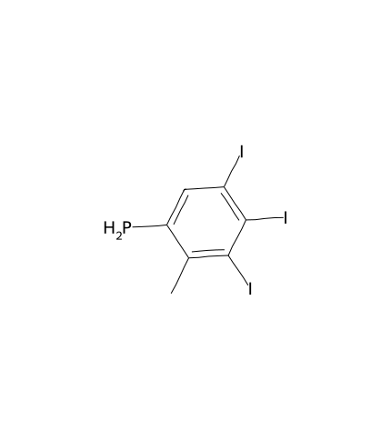 Cc1c(P)cc(I)c(I)c1I